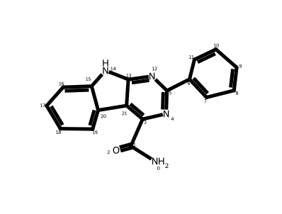 NC(=O)c1nc(-c2ccccc2)nc2[nH]c3ccccc3c12